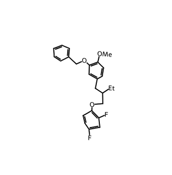 CCC(COc1ccc(F)cc1F)Cc1ccc(OC)c(OCc2ccccc2)c1